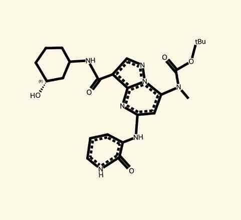 CN(C(=O)OC(C)(C)C)c1cc(Nc2ccc[nH]c2=O)nc2c(C(=O)NC3CCC[C@@H](O)C3)cnn12